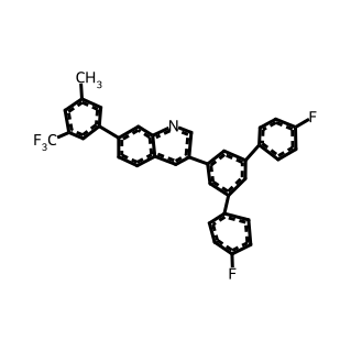 Cc1cc(-c2ccc3cc(-c4cc(-c5ccc(F)cc5)cc(-c5ccc(F)cc5)c4)cnc3c2)cc(C(F)(F)F)c1